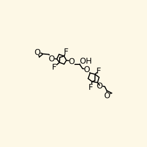 OC(COC1CC2(F)CC1(F)CC2OCC1CO1)COC1CC2(F)CC1(F)CC2OCC1CO1